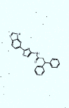 O=C(CC(c1ccccc1)c1ccccc1)Nc1csc(-c2ccc3nc[nH]c3c2)n1